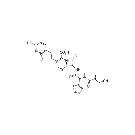 N#CCNC(=O)NC(C(=O)N[C@@H]1C(=O)N2C(C(=O)O)=C(CSc3ccc(O)n[n+]3[O-])CSC12)c1cccs1